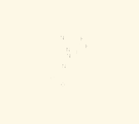 FC(F)(F)c1cnc2ccc(N3CCC4(C3)OCCO4)nn12